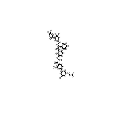 CC(C)COc1cc(F)cc(-c2ccc(C(=O)NSC3=CC=CC(NC(CCC4CN(C(=O)OC(C)(C)C)C(C)(C)C4)c4ccccn4)N3)c(Cl)n2)c1